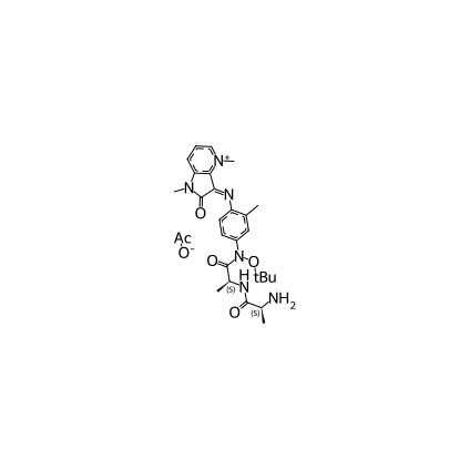 CC(=O)[O-].Cc1cc(N(OC(C)(C)C)C(=O)[C@H](C)NC(=O)[C@H](C)N)ccc1N=C1C(=O)N(C)c2ccc[n+](C)c21